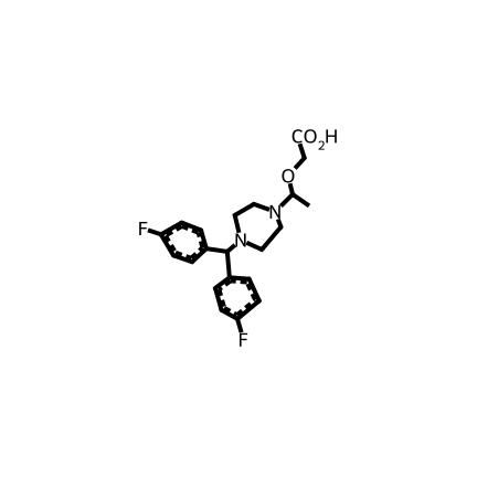 CC(OCC(=O)O)N1CCN(C(c2ccc(F)cc2)c2ccc(F)cc2)CC1